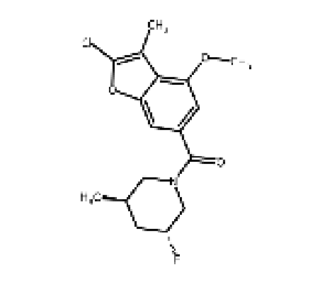 COc1cc(C(=O)N2C[C@H](C)C[C@@H](F)C2)cc2oc(Cl)c(C)c12